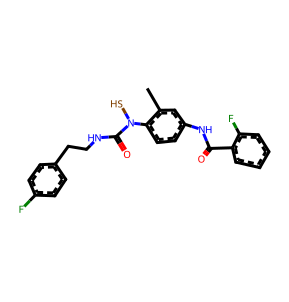 Cc1cc(NC(=O)c2ccccc2F)ccc1N(S)C(=O)NCCc1ccc(F)cc1